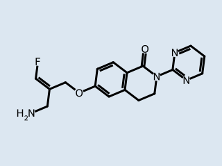 NC/C(=C/F)COc1ccc2c(c1)CCN(c1ncccn1)C2=O